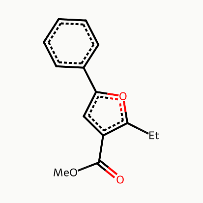 CCc1oc(-c2ccccc2)cc1C(=O)OC